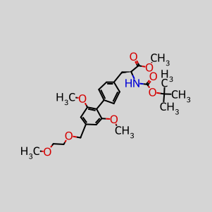 COCCOCc1cc(OC)c(-c2ccc(C[C@H](NC(=O)OC(C)(C)C)C(=O)OC)cc2)c(OC)c1